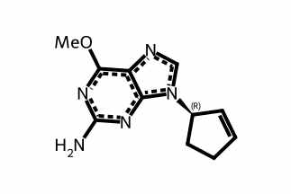 COc1nc(N)nc2c1ncn2[C@H]1C=CCC1